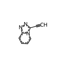 C#Cc1nnc2ccccn12